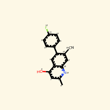 Cc1cc(O)c2cc(-c3ccc(F)cc3)c(C#N)cc2n1